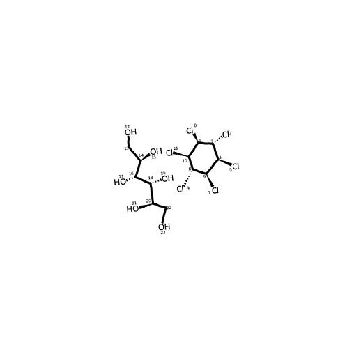 Cl[C@H]1[C@H](Cl)[C@@H](Cl)[C@@H](Cl)[C@H](Cl)[C@H]1Cl.OC[C@@H](O)[C@@H](O)[C@H](O)[C@H](O)CO